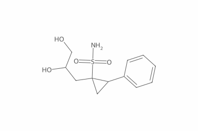 NS(=O)(=O)C1(CC(O)CO)CC1c1ccccc1